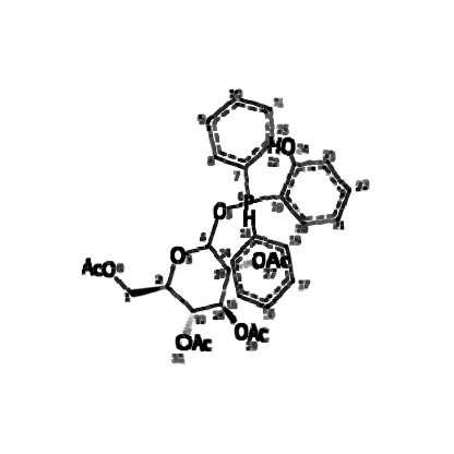 CC(=O)OC[C@H]1OC(O[PH](c2ccccc2)(c2ccccc2)c2ccccc2O)[C@H](OC(C)=O)[C@@H](OC(C)=O)[C@@H]1OC(C)=O